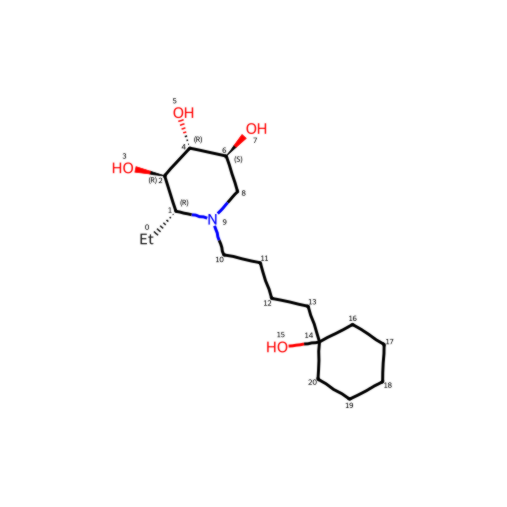 CC[C@@H]1[C@@H](O)[C@H](O)[C@@H](O)CN1CCCCC1(O)CCCCC1